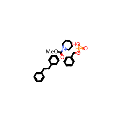 COC(=O)N1CCCCC1.O=[PH](O)OCc1ccccc1.c1ccc(CCc2ccccc2)cc1